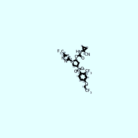 N#CC1(NC(=O)O[C@H]2C[C@@H](S(=O)(=O)c3ccc(OCC(F)(F)F)cc3C(F)(F)F)CN2c2nnc(C(F)(F)F)s2)CC1